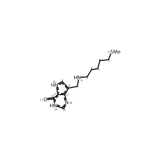 CSCCCCCNCc1c[nH]c2c(=O)[nH]cnc12